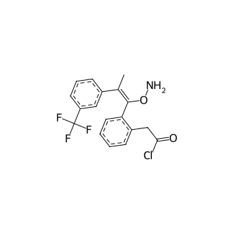 CC(=C(ON)c1ccccc1CC(=O)Cl)c1cccc(C(F)(F)F)c1